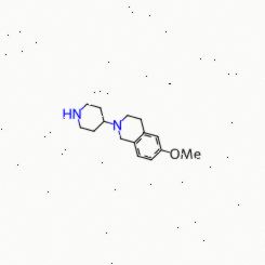 COc1ccc2c(c1)CCN(C1CCNCC1)C2